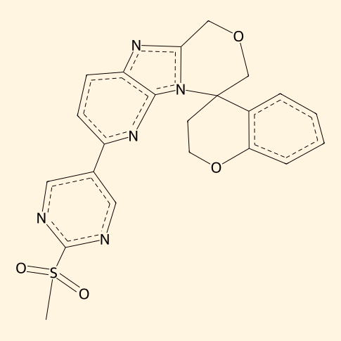 CS(=O)(=O)c1ncc(-c2ccc3nc4n(c3n2)C2(CCOc3ccccc32)COC4)cn1